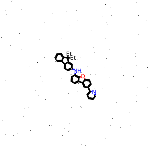 CCC1(CC)c2ccccc2-c2ccc(Nc3cccc4c3oc3ccc(-c5ccccn5)cc34)cc21